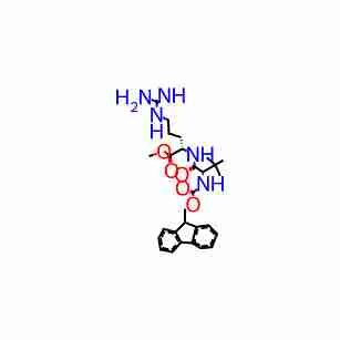 COC(=O)[C@H](CCCNC(=N)N)NC(=O)[C@@H](NC(=O)OCC1c2ccccc2-c2ccccc21)C(C)(C)C